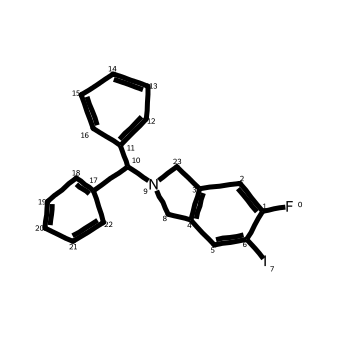 Fc1cc2c(cc1I)CN(C(c1ccccc1)c1ccccc1)C2